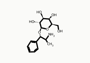 CC(N)[C@@H](O[C@@H]1O[C@H](CO)[C@H](O)[C@H](O)[C@H]1O)c1ccccc1